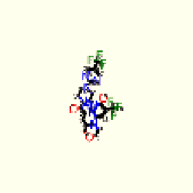 O=C(CCC1COCCN1c1cc(C(F)(F)F)c(=O)[nH]n1)N1CCN(c2ncc(C(F)(F)F)cn2)CC1